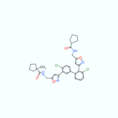 CC1(C(=O)NCc2cc(-c3cc(-c4cccc(Cl)c4-c4cc(CNC(=O)C5CCCC5)on4)ccc3Cl)no2)CCCC1